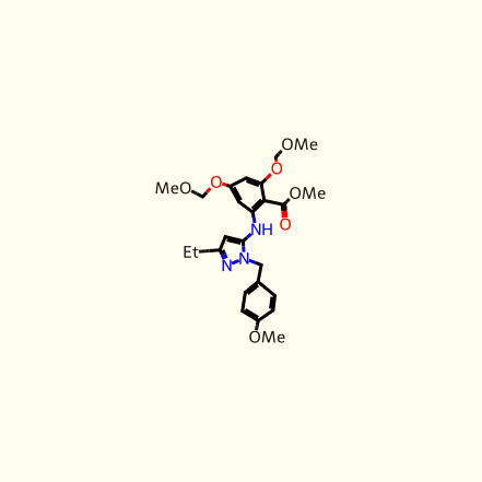 CCc1cc(Nc2cc(OCOC)cc(OCOC)c2C(=O)OC)n(Cc2ccc(OC)cc2)n1